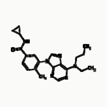 CCCN(CC)c1ncnc2c1ncn2-c1cc(C(=O)NC2CC2)ccc1C